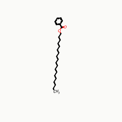 CCCCCCCCCCCCCCCCCCCOC(=O)c1ccccc1